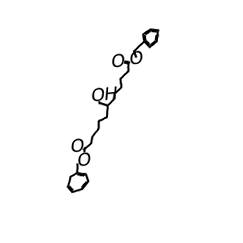 O=C(CCCCCC(CO)CCCCCC(=O)OCc1ccccc1)OCC1=CC=CC=CC1